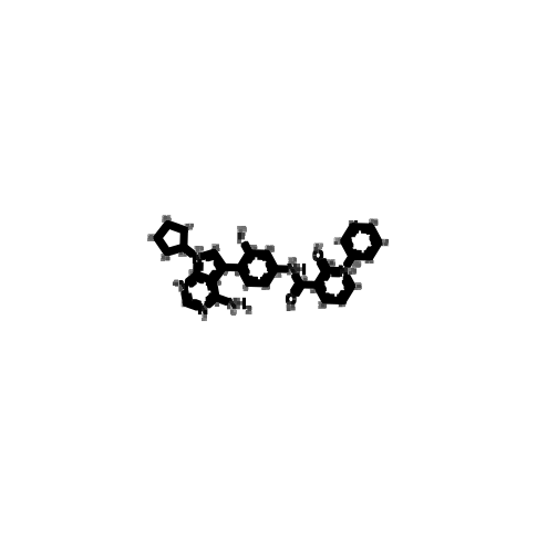 Nc1ncnc2c1c(-c1ccc(NC(=O)c3cccn(-c4ccccc4)c3=O)cc1F)cn2C1CCCC1